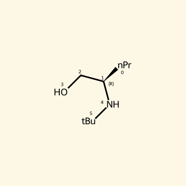 CCC[C@H](CO)NC(C)(C)C